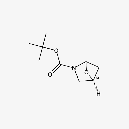 CC(C)(C)OC(=O)N1C[C@@H]2CC1O2